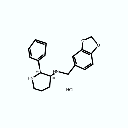 Cl.c1ccc([C@@H]2NCCC[C@@H]2NCc2ccc3c(c2)OCO3)cc1